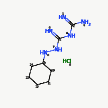 Cl.N=C(N)NC(=N)NNC1CCCCC1